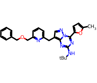 Cc1ccc(-c2nc(NC(C)(C)C)nc3c(Cc4cccc(COCc5ccccc5)n4)cnn23)o1